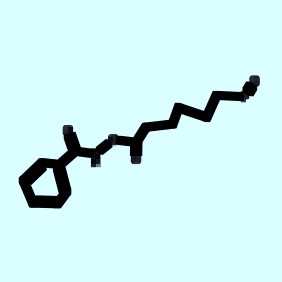 O=PCCCCCC(=O)ONC(=O)c1ccccc1